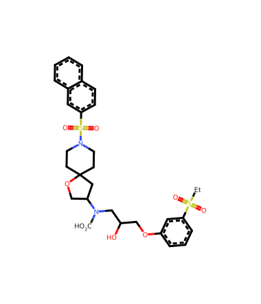 CCS(=O)(=O)c1cccc(OCC(O)CN(C(=O)O)C2COC3(CCN(S(=O)(=O)c4ccc5ccccc5c4)CC3)C2)c1